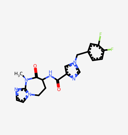 CN1C(=O)C(NC(=O)c2cn(Cc3ccc(F)c(F)c3)cn2)CCn2ccnc21